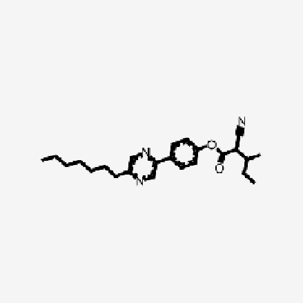 CCCCCCCc1cnc(-c2ccc(OC(=O)C(C#N)C(C)CC)cc2)cn1